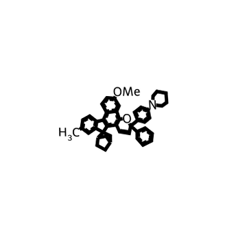 COc1ccc2c3c(c4c(c2c1)OC(c1ccccc1)(c1ccc(N2CCCCC2)cc1)C=C4)C1(CC2CCC1C2)c1cc(C)ccc1-3